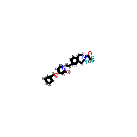 O=C(N1CCc2ccc(CCn3ccc(OCc4ccccc4)cc3=O)cc2CC1)C(F)(F)F